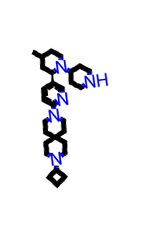 CC1CCN(C2CCNCC2)[C@@H](c2ccc(N3CCC4(CC3)CCN(C3CCC3)CC4)nc2)C1